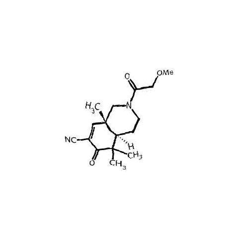 COCC(=O)N1CC[C@H]2C(C)(C)C(=O)C(C#N)=C[C@]2(C)C1